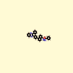 c1ccc(-c2nnc(-c3cccc4c(-c5ccc(-c6nc7ccccc7nc6-c6ccccc6)cc5)cccc34)o2)cc1